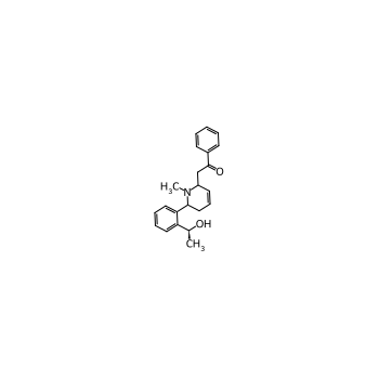 C[C@H](O)c1ccccc1C1CC=CC(CC(=O)c2ccccc2)N1C